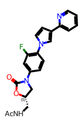 CC(=O)NC[C@H]1CN(c2ccc(-n3ccc(-c4ccccn4)c3)c(F)c2)C(=O)O1